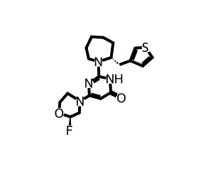 O=c1cc(N2CCO[C@H](F)C2)nc(N2CCCCC[C@@H]2Cc2ccsc2)[nH]1